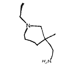 CCN1CCC(C)(CN)C1